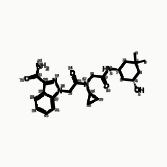 CC1(C)C[C@H](O)C[C@@H](NC(=O)CN(C(=O)Cn2nc(C(N)=O)c3ccccc32)C2CC2)C1